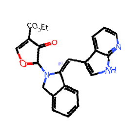 CCOC(=O)C1=COC(N2Cc3ccccc3/C2=C\c2c[nH]c3ncccc23)C1=O